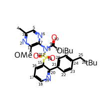 COc1nc(C)cnc1N(C(=O)OCC(C)C)S(=O)(=O)c1cccnc1-c1ccc(CC(C)(C)C)cc1